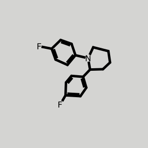 Fc1ccc(C2CCCCN2c2ccc(F)cc2)cc1